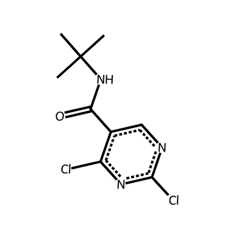 CC(C)(C)NC(=O)c1cnc(Cl)nc1Cl